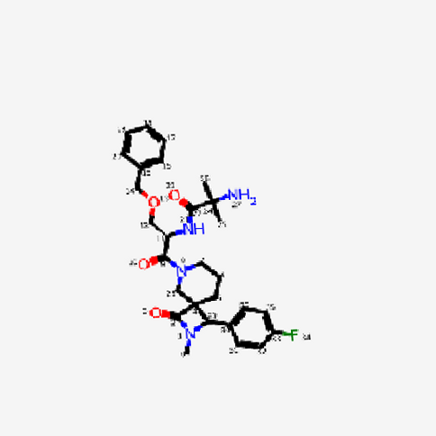 CN1C(=O)C2(CCCN(C(=O)[C@@H](COCc3ccccc3)NC(=O)C(C)(C)N)C2)C1c1ccc(F)cc1